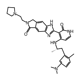 Cc1ccc(N(C)C)cc1C[C@H](C)Nc1cc[nH]c(=O)c1-c1nc2cc3c(cc2[nH]1)CN(CCN1CCCC1)C3=O